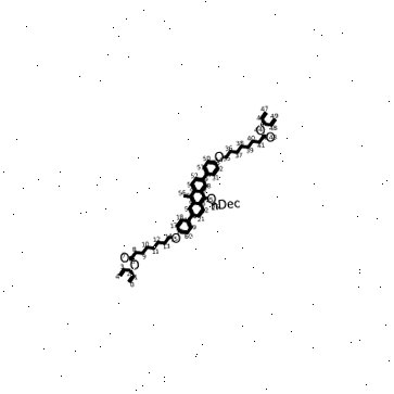 C=CC(C=C)OC(=O)CCCCCCCOc1ccc(-c2ccc3c(OCCCCCCCCCC)c4cc(-c5ccc(OCCCCCCCC(=O)OC(C=C)C=C)cc5)ccc4c(C)c3c2)cc1